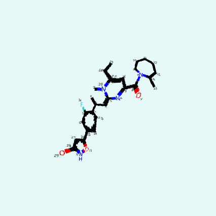 C=C(/C=C1/N=C(C(=O)N2CCCCCC2C)C=C(CC)N1C)c1ccc(-c2cc(=O)[nH]o2)cc1F